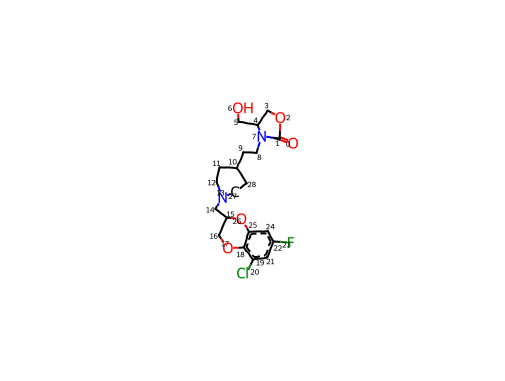 O=C1OCC(CO)N1CCC1CCN(CC2COc3c(Cl)cc(F)cc3O2)CC1